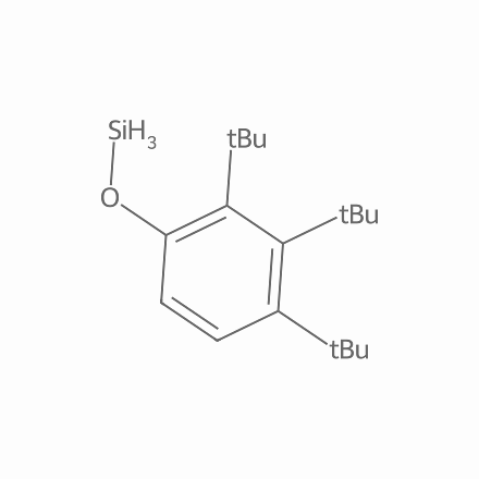 CC(C)(C)c1ccc(O[SiH3])c(C(C)(C)C)c1C(C)(C)C